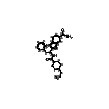 NCC1CCC(C(=O)NC(Cc2ccccc2)c2nc3cc(C(N)=O)ccc3[nH]2)CC1